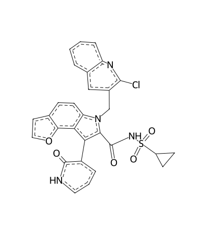 O=C(NS(=O)(=O)C1CC1)c1c(-c2ccc[nH]c2=O)c2c3occc3ccc2n1Cc1cc2ccccc2nc1Cl